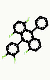 Fc1ccc(-c2c3c(F)cccc3c(-c3ccccc3)c3c(F)ccc(F)c23)cc1F